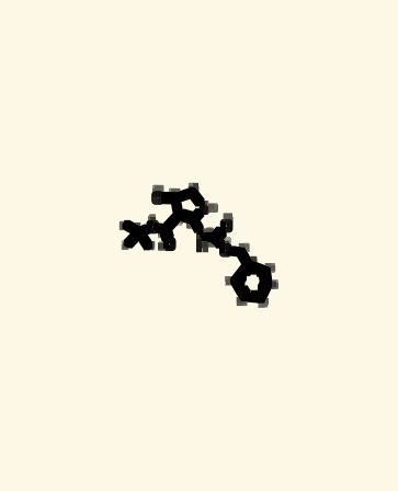 CC(C)(C)OC(=O)C1=C(NC(=O)OCc2ccccc2)SCC1=O